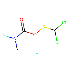 CN(F)C(=O)OSC(Cl)Cl.F